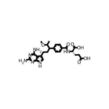 COC(C)C(CCc1c[nH]c2nc(N)nc(N)c12)c1ccc(C(=O)N[C@@H](CCC(=O)O)C(=O)O)cc1